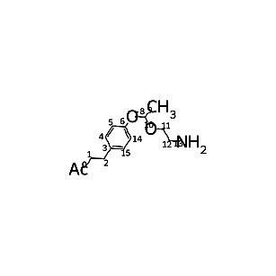 CC(=O)CCc1ccc(OC(C)OCCN)cc1